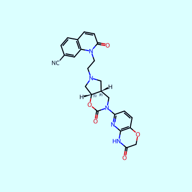 N#Cc1ccc2ccc(=O)n(CCN3C[C@@H]4CN(c5ccc6c(n5)NC(=O)CO6)C(=O)O[C@@H]4C3)c2c1